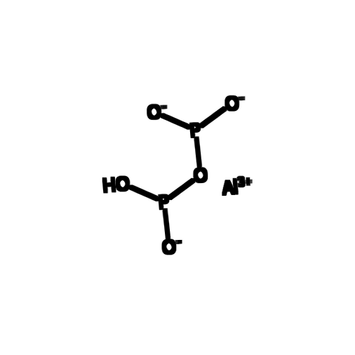 [Al+3].[O-]P([O-])OP([O-])O